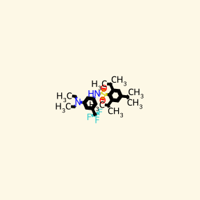 CCN(CC)c1cc(NS(=O)(=O)c2c(C(C)C)cc(C(C)C)cc2C(C)C)cc(C(F)(F)F)c1